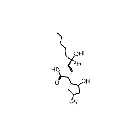 [2H][C@@](O)(C=C[C@@H](C(=O)O)[C@H]1C[C@H](O)C[C@@H]1O)CCCCC